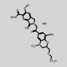 Br.CCOc1cc2c(nc1C(=O)NC)C(=N)N(CC(=O)c1cc3c(c(C(C)(C)C)c1)OC(COCC(=O)O)CN3C)C2